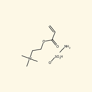 C=CC(=O)OCC[N+](C)(C)C.CN.O=S(=O)([O-])O